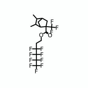 CC1C2CC(C1C)C(C(=O)OCCC(F)(F)C(F)(F)C(F)(F)C(F)(F)F)(C(F)(F)F)C2